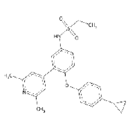 CCS(=O)(=O)Nc1ccc(Oc2ccc(C3CC3)cc2)c(-c2cc(C)nc(C)c2)c1